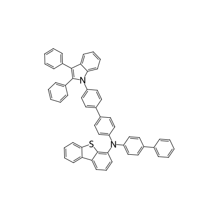 c1ccc(-c2ccc(N(c3ccc(-c4ccc(-n5c(-c6ccccc6)c(-c6ccccc6)c6ccccc65)cc4)cc3)c3cccc4c3sc3ccccc34)cc2)cc1